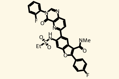 CCS(=O)(=O)Nc1cc2oc(-c3ccc(F)cc3)c(C(=O)NC)c2cc1-c1ccc2ncn(-c3ccccc3F)c(=O)c2n1